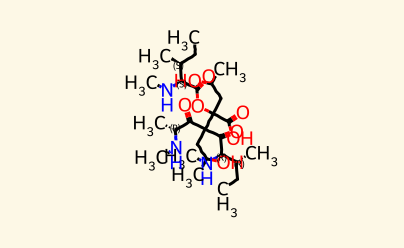 CC[C@@H](C)[C@@H](NC)C(=O)C(CC(C)O)(C(=O)[C@@H](C)NC)C(CC(C)O)(OC(=O)[C@@H](NC)[C@@H](C)CC)C(=O)O